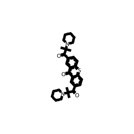 CC(C)(C(=O)c1ccc2sc3ccc(C(=O)C(C)(C)N4CCCCC4)cc3c(=O)c2c1)N1CCCCC1